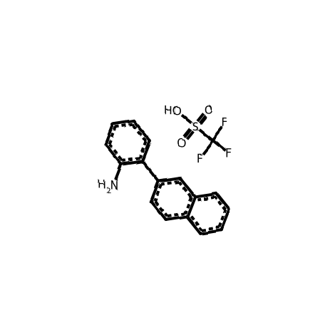 Nc1ccccc1-c1ccc2ccccc2c1.O=S(=O)(O)C(F)(F)F